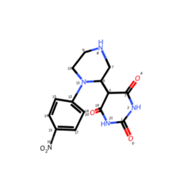 O=C1NC(=O)C(C2CNCCN2c2ccc([N+](=O)[O-])cc2)C(=O)N1